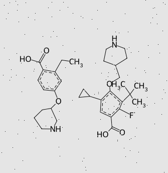 CC(C)(C)c1c(F)c(C(=O)O)cc(C2CC2)c1OCC1CCNCC1.CCc1cc(OC2CCCNC2)ccc1C(=O)O